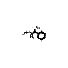 CCO[SiH2]C(c1ccccc1)C(C)(C)C